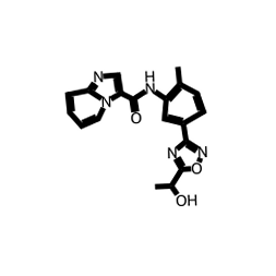 Cc1ccc(-c2noc(C(C)O)n2)cc1NC(=O)c1cnc2ccccn12